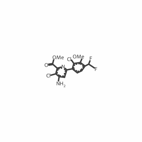 COC(=O)c1nc(-c2ccc(C(F)F)c(OC)c2Cl)cc(N)c1Cl